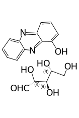 O=C[C@H](O)[C@H](O)[C@H](O)CO.Oc1cccc2nc3ccccc3nc12